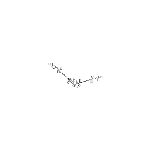 CC(C)(COC(=O)NCCCCCCNC(=O)CCC(=O)O)COC(=O)NCCCCCCNC(=O)OCc1ccc(CO)cc1